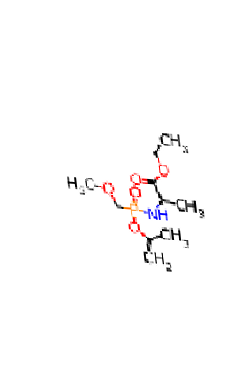 C=C(C)OP(=O)(COC)NC(C)C(=O)OCC